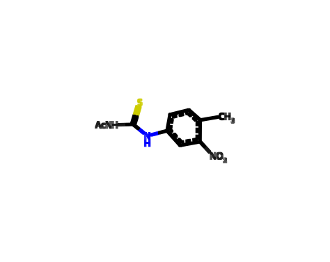 CC(=O)NC(=S)Nc1ccc(C)c([N+](=O)[O-])c1